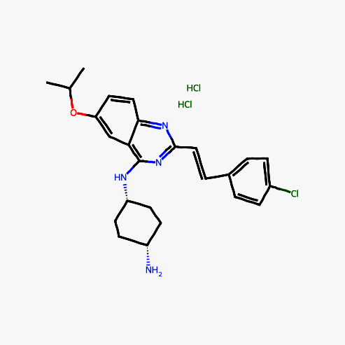 CC(C)Oc1ccc2nc(C=Cc3ccc(Cl)cc3)nc(N[C@H]3CC[C@@H](N)CC3)c2c1.Cl.Cl